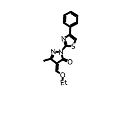 CCO/C=C1\C(=O)N(c2nc(-c3ccccc3)cs2)N=C1C